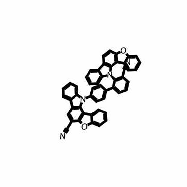 N#Cc1cccc(-c2ccc(-n3c4ccccc4c4cc(C#N)c5oc6ccccc6c5c43)cc2)c1-n1c2ccccc2c2ccc3oc4ccccc4c3c21